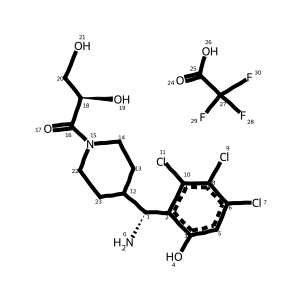 N[C@@H](c1c(O)cc(Cl)c(Cl)c1Cl)C1CCN(C(=O)[C@H](O)CO)CC1.O=C(O)C(F)(F)F